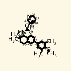 COc1c(C)cc(-c2ccc3c(c2)CCC(C)(C)[C@H]3NC(=O)O[C@H]2CN3CCC2CC3)cc1C